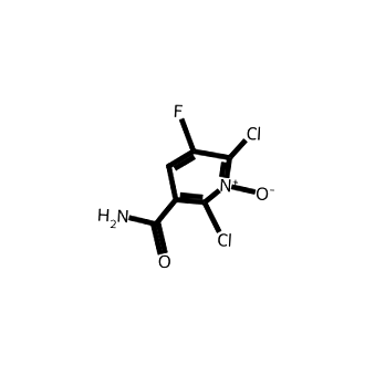 NC(=O)c1cc(F)c(Cl)[n+]([O-])c1Cl